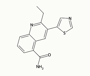 CCc1nc2cccc(C(N)=O)c2cc1-c1cncs1